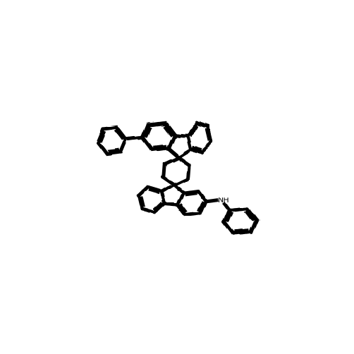 c1ccc(Nc2ccc3c(c2)C2(CCC4(CC2)c2ccccc2-c2ccc(-c5ccccc5)cc24)c2ccccc2-3)cc1